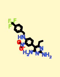 CCc1nc(N)nc(N)c1-c1ccc(NCc2ccc(C(F)(F)F)cc2)c([N+](=O)[O-])c1